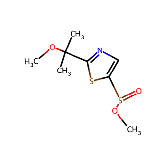 COS(=O)c1cnc(C(C)(C)OC)s1